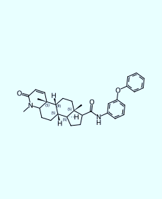 CN1C(=O)C=C[C@@]2(C)C1CC[C@@H]1[C@H]2CC[C@]2(C)C(C(=O)Nc3cccc(Oc4ccccc4)c3)CC[C@@H]12